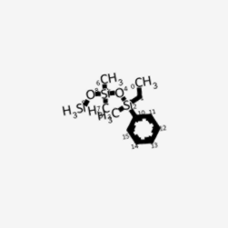 CC[Si](C)(O[Si](C)(C)O[SiH3])c1ccccc1